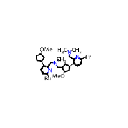 CCC(C)c1ccc([C@H]2CC[C@H](OC)C2)c(CN(C)CC2C[C@@H](c3ccc(C(C)C)nc3CN(C)C)C[C@H]2OC)n1